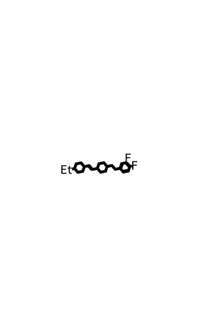 CCC1CCC(C=CC2CCC(CCc3ccc(F)c(F)c3)CC2)CC1